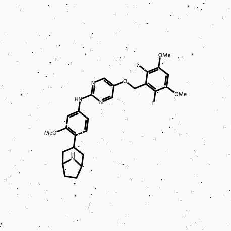 COc1cc(Nc2ncc(OCc3c(F)c(OC)cc(OC)c3F)cn2)ccc1C1CC2CCC(C1)N2